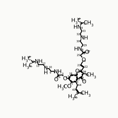 COc1c(OCC(=O)NCCNCCNC(C)C)cc2oc(/C=C/OCC(=O)NCCNCCNC(C)C)c(C)c(=O)c2c1CC=C(C)C